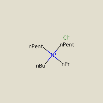 CCCCC[N+](CCC)(CCCC)CCCCC.[Cl-]